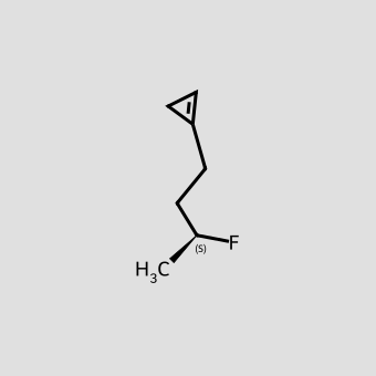 C[C@H](F)CCC1=CC1